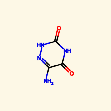 Nc1n[nH]c(=O)[nH]c1=O